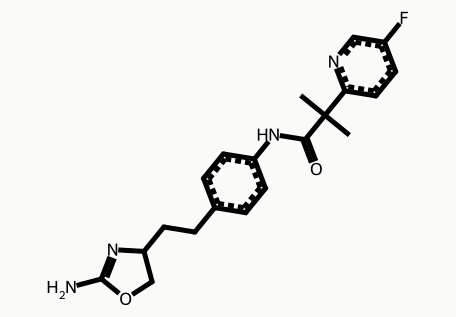 CC(C)(C(=O)Nc1ccc(CCC2COC(N)=N2)cc1)c1ccc(F)cn1